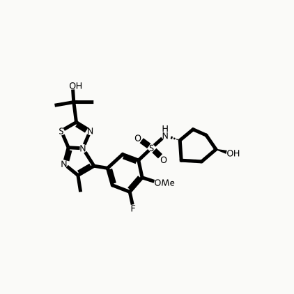 COc1c(F)cc(-c2c(C)nc3sc(C(C)(C)O)nn23)cc1S(=O)(=O)N[C@H]1CC[C@H](O)CC1